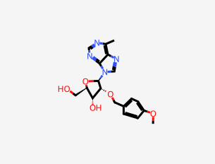 COc1ccc(CO[C@@H]2[C@H](O)[C@@H](CO)O[C@H]2n2cnc3c(C)ncnc32)cc1